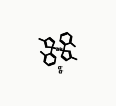 CC1=C[C]([Zr+2][C]2(c3ccccc3C)C=CC(C)=C2)(c2ccccc2C)C=C1.[Cl-].[Cl-]